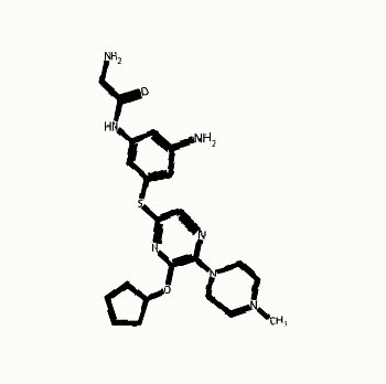 CN1CCN(c2ncc(Sc3cc(N)cc(NC(=O)CN)c3)nc2OC2CCCC2)CC1